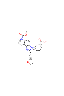 COC(=O)N1c2ccc3c(nc(CC[C@@H]4CCCO4)n3[C@@H]3CCC[C@@H](C(=O)O)C3)c2CC[C@@H]1C